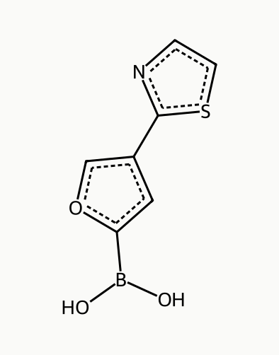 OB(O)c1cc(-c2nccs2)co1